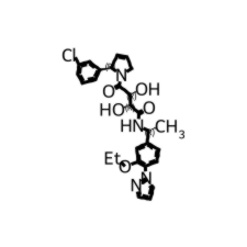 CCOc1cc([C@@H](C)NC(=O)[C@H](O)[C@@H](O)C(=O)N2CC=C[C@@H]2c2cccc(Cl)c2)ccc1-n1cccn1